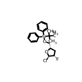 CC(C)(C)[Si](OC[C@@H]1C[C@H](F)[C@@H](Cl)O1)(c1ccccc1)c1ccccc1